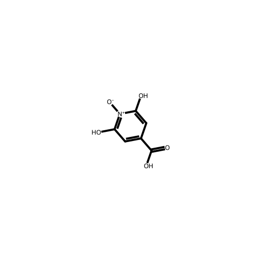 O=C(O)c1cc(O)[n+]([O-])c(O)c1